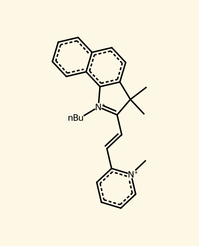 CCCC[N+]1=C(C=Cc2cccc[n+]2C)C(C)(C)c2ccc3ccccc3c21